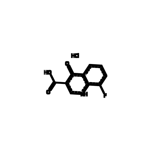 Cl.O=C(O)c1c[nH]c2c(F)cccc2c1=O